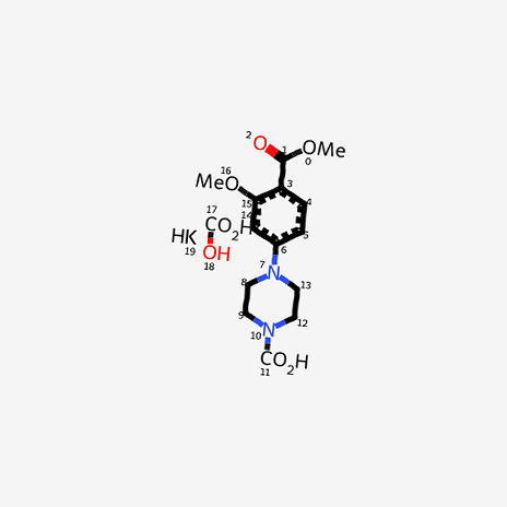 COC(=O)c1ccc(N2CCN(C(=O)O)CC2)cc1OC.O=C(O)O.[KH]